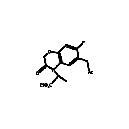 CCOC(=O)C(C)N1C(=O)COc2cc(F)c(CC(C)=O)cc21